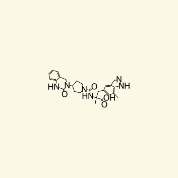 Cc1cc(C[C@@](C)(NC(=O)N2CCC(N3Cc4ccccc4NC3=O)CC2)C(=O)O)cc2cn[nH]c12